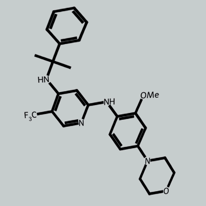 COc1cc(N2CCOCC2)ccc1Nc1cc(NC(C)(C)c2ccccc2)c(C(F)(F)F)cn1